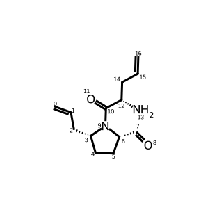 C=CC[C@H]1CC[C@@H](C=O)N1C(=O)[C@@H](N)CC=C